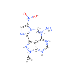 Cn1c([N+](=O)[O-])cnc1-c1nn(C)c2ncnc(NN)c12